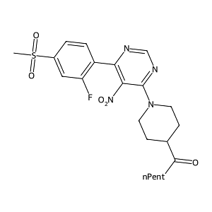 CCCCCC(=O)C1CCN(c2ncnc(-c3ccc(S(C)(=O)=O)cc3F)c2[N+](=O)[O-])CC1